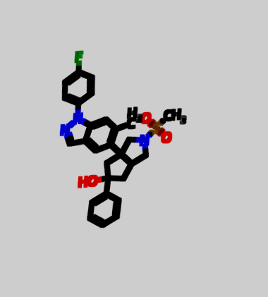 Cc1cc2c(cnn2-c2ccc(F)cc2)cc1C12CN(S(C)(=O)=O)CC1CC(O)(c1ccccc1)C2